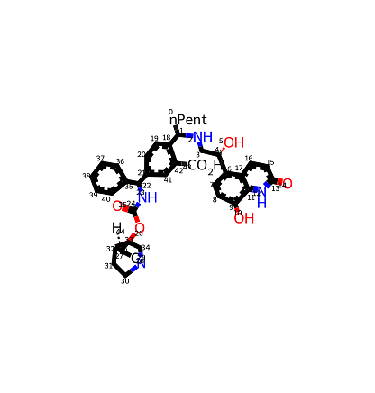 CCCCCC(NC[C@H](O)c1ccc(O)c2[nH]c(=O)ccc12)c1ccc(C(NC(=O)O[C@H]2CN3CCC2CC3)c2ccccc2)cc1C(=O)O